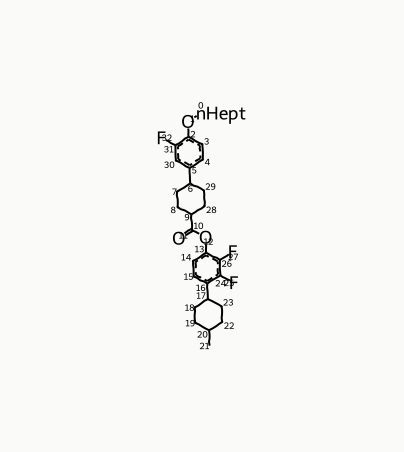 CCCCCCCOc1ccc(C2CCC(C(=O)Oc3ccc(C4CCC(C)CC4)c(F)c3F)CC2)cc1F